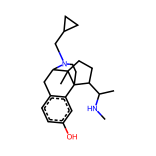 CNC(C)C1CCC2(C)C3Cc4ccc(O)cc4C12CCN3CC1CC1